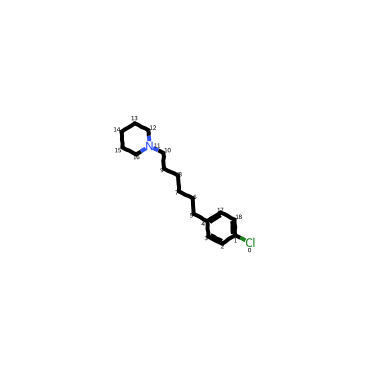 Clc1ccc(CCC[CH]CCN2CCCCC2)cc1